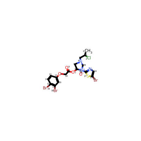 CC(Cl)CN1CC(OC(=O)COc2ccc(Br)c(Br)c2)[N+]([O-])(c2ncc(Br)s2)C1